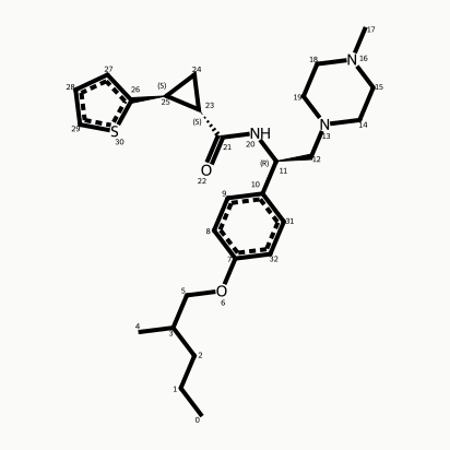 CCCC(C)COc1ccc([C@H](CN2CCN(C)CC2)NC(=O)[C@H]2C[C@@H]2c2cccs2)cc1